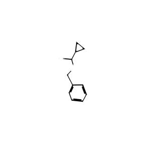 [O]C(OCc1ccccc1)C1CC1